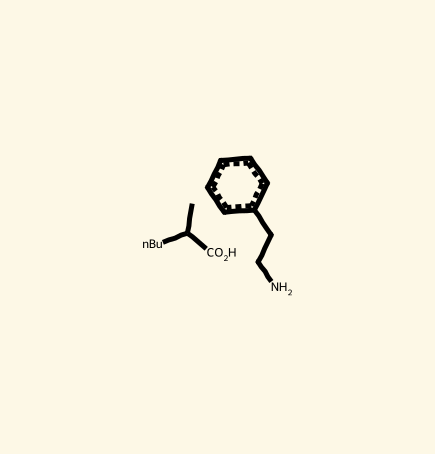 CCCCC(C)C(=O)O.NCCc1ccccc1